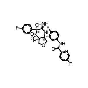 C[C@@]1(c2ccc(F)cc2)C(=N)N[C@@]2(c3cc(NC(=O)c4ccc(F)cn4)ccc3F)COC[C@H]2S1(=O)=O